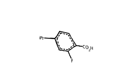 CC(C)c1ccc(C(=O)O)c(F)c1